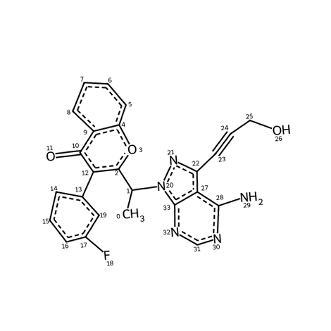 CC(c1oc2ccccc2c(=O)c1-c1cccc(F)c1)n1nc(C#CCO)c2c(N)ncnc21